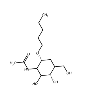 CCCCCO[C@@H]1CC(CO)[C@H](O)C(O)C1NC(C)=O